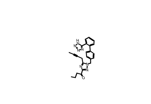 CC#CCc1nc(C(=O)CCC)nn1Cc1ccc(-c2ccccc2-c2nnn[nH]2)cc1